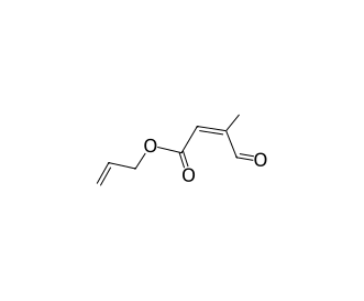 C=CCOC(=O)C=C(C)C=O